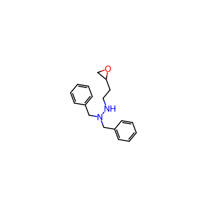 c1ccc(CN(Cc2ccccc2)NCCC2CO2)cc1